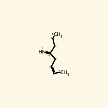 C/C=C\CC(=N)CCC